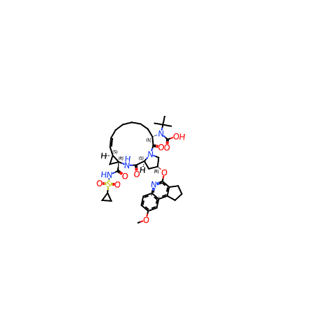 COc1ccc2nc(O[C@@H]3C[C@H]4C(=O)N[C@]5(C(=O)NS(=O)(=O)C6CC6)C[C@H]5C=CCCCCC[C@H](N(C(=O)O)C(C)(C)C)C(=O)N4C3)c3c(c2c1)CCC3